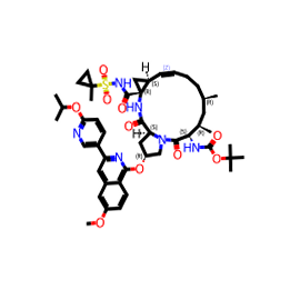 COc1ccc2c(O[C@@H]3C[C@H]4C(=O)N[C@]5(C(=O)NS(=O)(=O)C6(C)CC6)C[C@H]5/C=C\CC[C@@H](C)C[C@@H](C)[C@H](NC(=O)OC(C)(C)C)C(=O)N4C3)nc(-c3ccc(OC(C)C)nc3)cc2c1